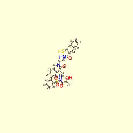 CCCC(=O)N(CCNC(=O)C(CS)Cc1ccccc1)Cc1ccc(-c2ccccc2S(=O)(=O)NC(=O)C(C)O)cc1